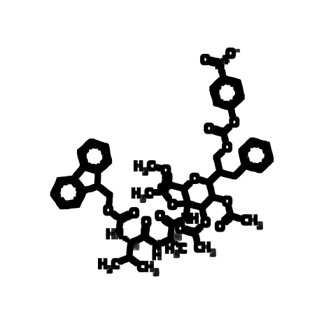 COC(=O)C1OC(C(COC(=O)Oc2ccc([N+](=O)[O-])cc2)Cc2ccccc2)C(OC(C)=O)C(OC(C)=O)C1(NC(=O)[C@H](C)NC(=O)[C@@H](NC(=O)OCC1c2ccccc2-c2ccccc21)C(C)C)OC(C)=O